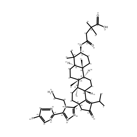 CC(C)C1=C2[C@H]3CC[C@@H]4[C@@]5(C)CC[C@H](OC(=O)CC(C)(C)C(=O)O)C(C)(C)[C@@H]5CC[C@@]4(C)[C@]3(C)CC[C@@]2(c2nnc(-c3ncc(F)cn3)n2CCN)CC1=O